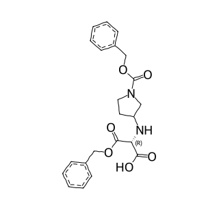 O=C(O)[C@@H](NC1CCN(C(=O)OCc2ccccc2)C1)C(=O)OCc1ccccc1